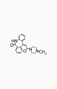 CN1CCN(C(=O)/C=C2/c3ccccc3NC(=O)c3ccccc32)CC1